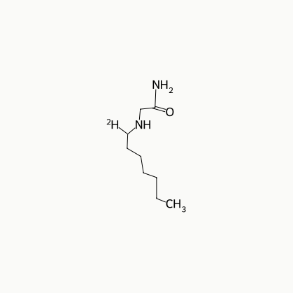 [2H]C(CCCCCC)NCC(N)=O